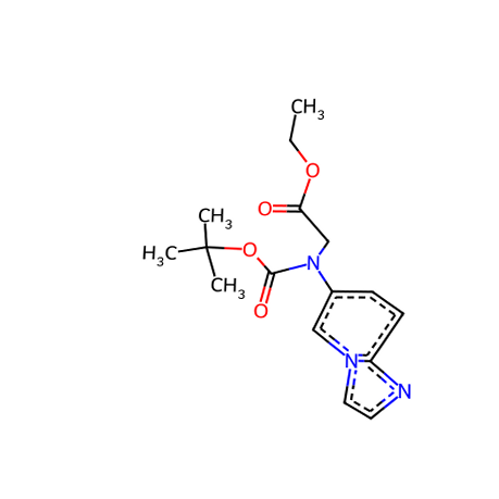 CCOC(=O)CN(C(=O)OC(C)(C)C)c1ccc2nccn2c1